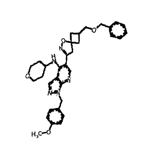 COc1ccc(Cn2ncc3c(NC4CCOCC4)c(C4=NOC5(C4)CC(COCc4ccccc4)C5)cnc32)cc1